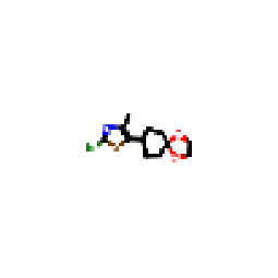 Cc1nc(Br)sc1C1CCC2(CC1)OCCO2